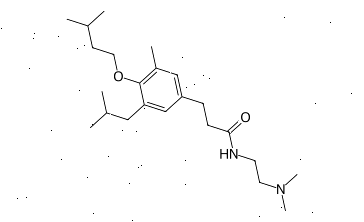 Cc1cc(CCC(=O)NCCN(C)C)cc(CC(C)C)c1OCCC(C)C